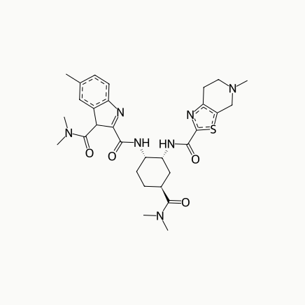 Cc1ccc2c(c1)C(C(=O)N(C)C)C(C(=O)N[C@H]1CC[C@H](C(=O)N(C)C)C[C@H]1NC(=O)c1nc3c(s1)CN(C)CC3)=N2